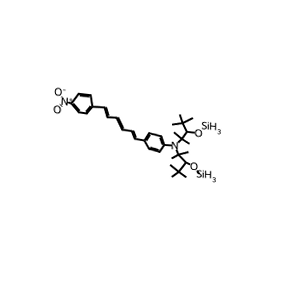 CC(C)(C)C(O[SiH3])C(C)(C)N(c1ccc(C=CC=CC=Cc2ccc([N+](=O)[O-])cc2)cc1)C(C)(C)C(O[SiH3])C(C)(C)C